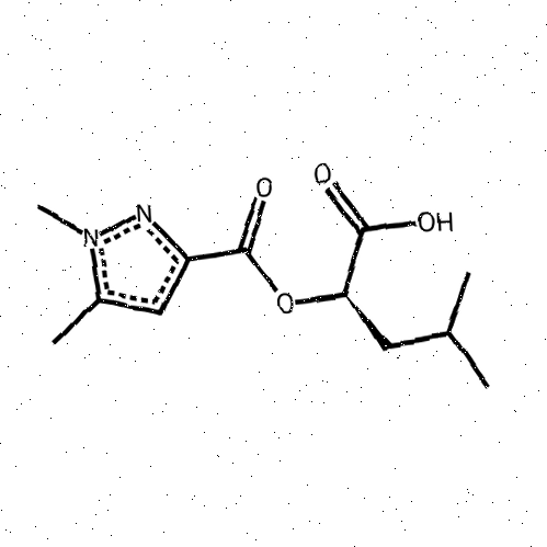 Cc1cc(C(=O)O[C@H](CC(C)C)C(=O)O)nn1C